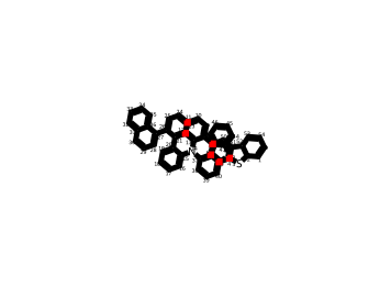 C1=CC2Sc3ccc(-c4ccccc4N(c4ccccc4-c4ccccc4-c4cccc5ccccc45)c4cccc5sc6ccccc6c45)cc3C2C=C1